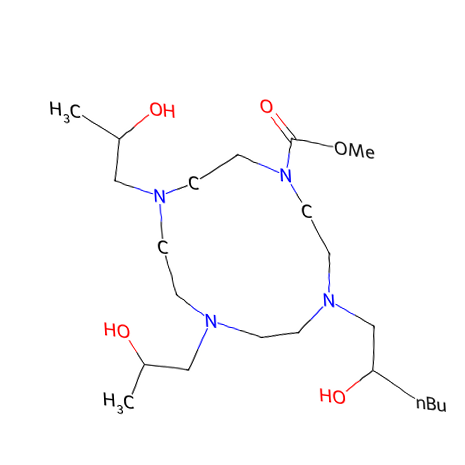 CCCCC(O)CN1CCN(CC(C)O)CCN(CC(C)O)CCN(C(=O)OC)CC1